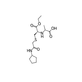 CCOC(=O)[C@H](CSCC(=O)NC1CCCC1)NC(C)C(=O)O